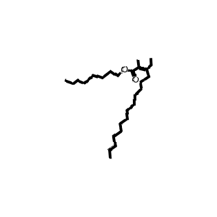 CCCCCCCCCCCCCC(CC)=C(C)C(=O)OCCCCCCCC